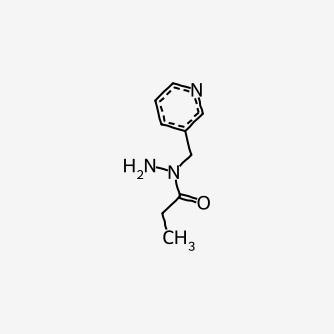 CCC(=O)N(N)Cc1cccnc1